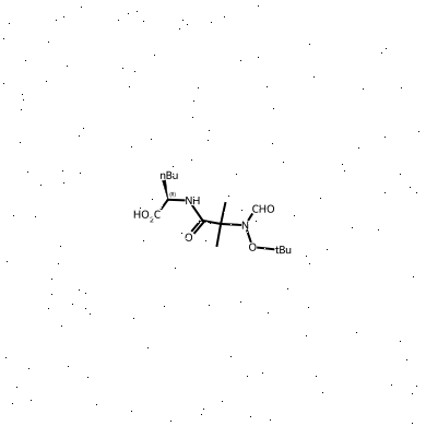 CCCC[C@@H](NC(=O)C(C)(C)N(C=O)OC(C)(C)C)C(=O)O